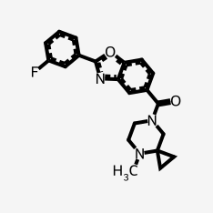 CN1CCN(C(=O)c2ccc3oc(-c4cccc(F)c4)nc3c2)CC12CC2